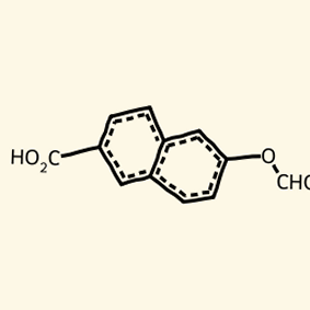 O=COc1ccc2cc(C(=O)O)ccc2c1